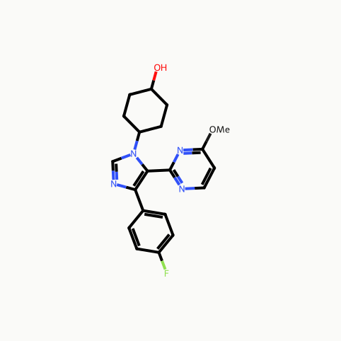 COc1ccnc(-c2c(-c3ccc(F)cc3)ncn2C2CCC(O)CC2)n1